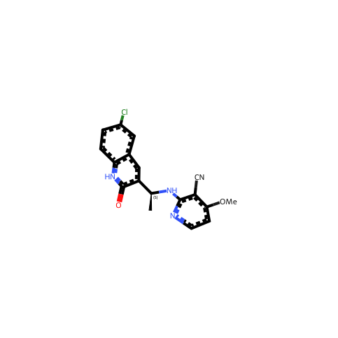 COc1ccnc(N[C@@H](C)c2cc3cc(Cl)ccc3[nH]c2=O)c1C#N